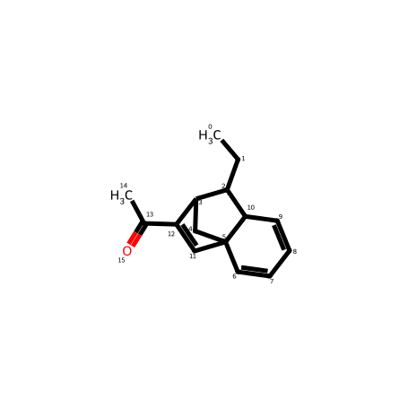 CCC1C2CC3(C=CC=CC13)C=C2C(C)=O